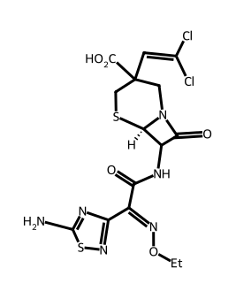 CCON=C(C(=O)NC1C(=O)N2CC(C=C(Cl)Cl)(C(=O)O)CS[C@H]12)c1nsc(N)n1